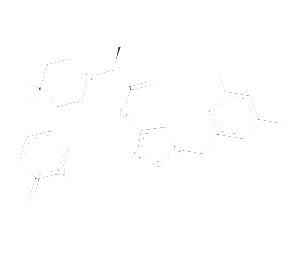 C[C@@H](C(=O)Nc1cn(Cc2cc(F)cc(F)c2)cn1)N1CCC(F)(F)[C@@H](c2ccc(=O)[nH]c2)C1